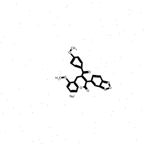 COc1ccc(C(=O)C(Cc2ccccc2OC)=C(C(=O)[O-])c2ccc3nonc3c2)cc1.[Na+]